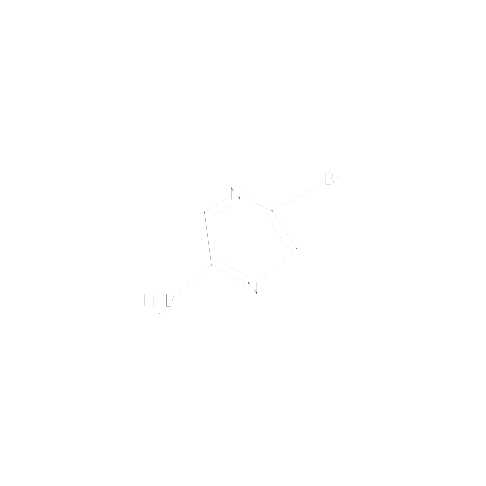 Bc1cnc(Br)cn1